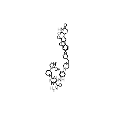 CN1CCN([C@@H]2CCCN(c3nnc(C(N)=O)c(Nc4ccc(N5CCN(CC6CCN(c7ccc8c9c(oc8c7)C(=O)N(C7CCC(=O)NC7=O)C9)C6)CC5)c(F)c4)n3)C2)C1=O